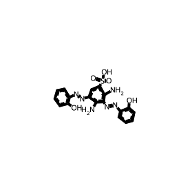 Nc1c(/N=N/c2ccccc2O)cc(S(=O)(=O)O)c(N)c1/N=N/c1ccccc1O